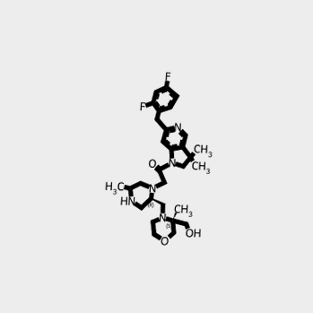 CC1CN(CC(=O)N2CC(C)(C)c3cnc(Cc4ccc(F)cc4F)cc32)[C@@H](CN2CCOC[C@]2(C)CO)CN1